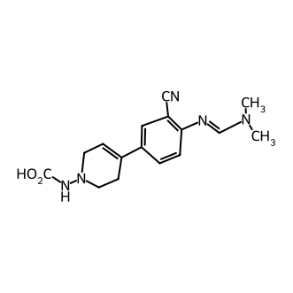 CN(C)C=Nc1ccc(C2=CCN(NC(=O)O)CC2)cc1C#N